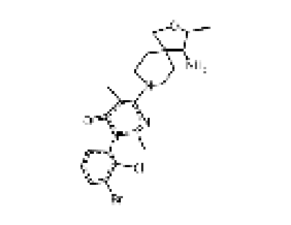 Cc1c(N2CCC3(CC2)CO[C@@H](C)[C@H]3N)nc(C)n(-c2cccc(Br)c2Cl)c1=O